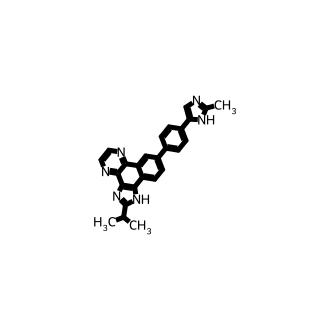 Cc1ncc(-c2ccc(-c3ccc4c(c3)c3nccnc3c3nc(C(C)C)[nH]c43)cc2)[nH]1